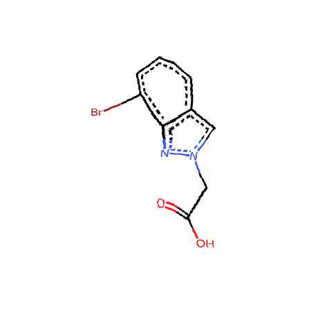 O=C(O)Cn1cc2cccc(Br)c2n1